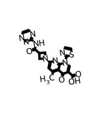 Cc1cc(N2CC(C(=O)Nc3nccnn3)C2)nc2c1c(=O)c(C(=O)O)cn2-c1nccs1